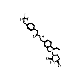 CC=C1c2ccc(CNC(=O)Cc3ccc(SC(F)(F)F)cc3)cc2CN1C1CCC(=O)NC1=O